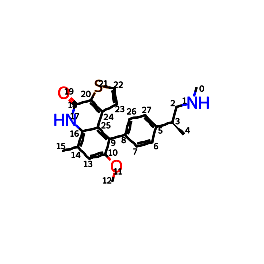 CNC[C@@H](C)c1ccc(-c2c(OC)cc(C)c3[nH]c(=O)c4sccc4c23)cc1